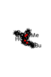 COCOc1ccc(C2OCC(C)(C)CO2)cc1C(O)(c1cccc(N2CCC(O[Si](C)(C)C(C)(C)C)CC2)c1)c1cc(C2OCC(C)(C)CO2)ccc1OCOC